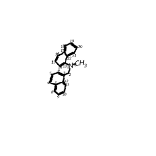 CN(Cc1cccc2ccccc12)c1cccc2ccccc12